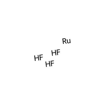 F.F.F.[Ru]